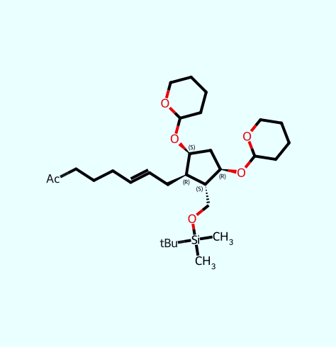 CC(=O)CCCC=CC[C@@H]1[C@@H](CO[Si](C)(C)C(C)(C)C)[C@H](OC2CCCCO2)C[C@@H]1OC1CCCCO1